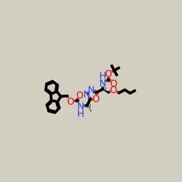 CCCCOC[C@H](NC(=O)OC(C)(C)C)c1nnc([C@H](C)NC(=O)OCC2c3ccccc3-c3ccccc32)o1